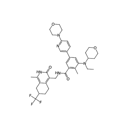 CCN(c1cc(-c2ccc(N3CCOCC3)nc2)cc(C(=O)NCc2c3c(c(C)[nH]c2=O)CC(C(F)(F)F)CC3)c1C)C1CCOCC1